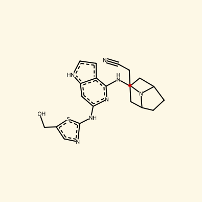 N#CCCN1C2CCC1CC(Nc1nc(Nc3ncc(CO)s3)cc3[nH]ccc13)C2